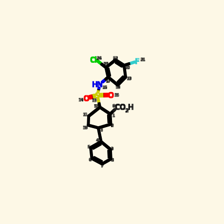 O=C(O)C1=CC(c2ccccc2)CCC1S(=O)(=O)Nc1ccc(F)cc1Cl